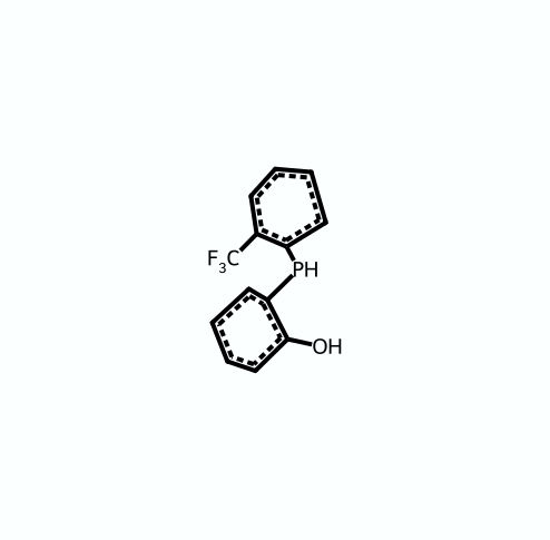 Oc1ccccc1Pc1ccccc1C(F)(F)F